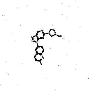 Cc1ccc2cc(-n3nnc4cnc(N5CC[C@@H](N)C5)nc43)ccc2n1